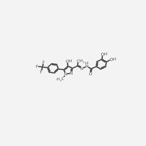 C/C(=N\NC(=O)c1ccc(O)c(O)c1)c1nn(C)c(-c2ccc(C(F)(F)F)cc2)c1O